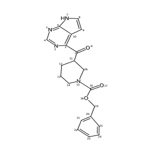 O=C(c1ncnc2[nH]ccc12)C1CCCN(C(=O)OCc2ccccc2)C1